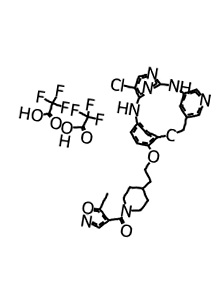 Cc1oncc1C(=O)N1CCC(CCOc2ccc3cc2CCc2cncc(c2)Nc2ncc(Cl)c(n2)N3)CC1.O=C(O)C(F)(F)F.O=C(O)C(F)(F)F